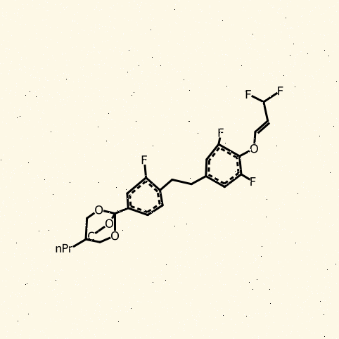 CCCC12COC(c3ccc(CCc4cc(F)c(O/C=C/C(F)F)c(F)c4)c(F)c3)(OC1)OC2